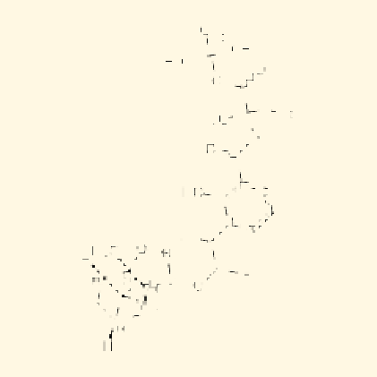 CC(C)(C)OC(=O)C(C)(C)OC(=O)c1cccc(C(CB2OC3C[C@@H]4C[C@@H](C4(C)C)[C@]3(C)O2)C(=O)O)c1O